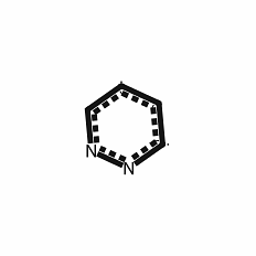 [c]1c[c]nnc1